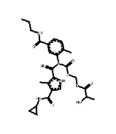 CCCNC(=O)c1ccc(C)c(N(C(=N)c2[nH]cc(C(=O)NC3CC3)c2C)C(=O)OCOC(=O)C(C)O)c1